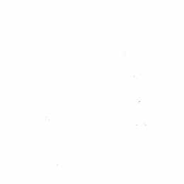 c1ccc(-c2ccc(-c3ccccc3)n2-c2ccc3cc4c(-c5ccc6ccccc6c5)c(-n5c(-c6ccccc6)ccc5-c5ccccc5)cc(-c5ccc6ccccc6c5)c4cc3c2)cc1